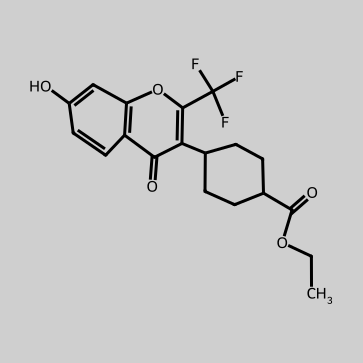 CCOC(=O)C1CCC(c2c(C(F)(F)F)oc3cc(O)ccc3c2=O)CC1